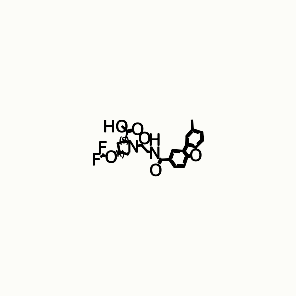 Cc1ccc2oc3ccc(C(=O)NCC(=O)N4C[C@H](OC(F)F)C[C@H]4C(=O)O)cc3c2c1